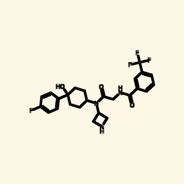 O=C(NCC(=O)N(C1CCC(O)(c2ccc(F)cc2)CC1)C1CNC1)c1cccc(C(F)(F)F)c1